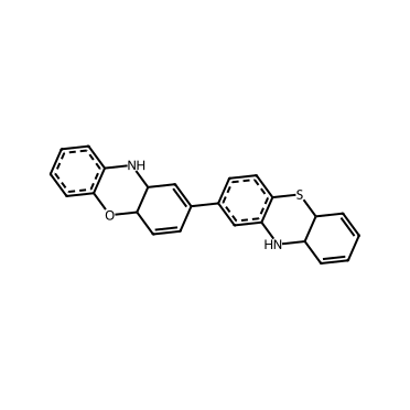 C1=CC2Nc3cc(C4=CC5Nc6ccccc6OC5C=C4)ccc3SC2C=C1